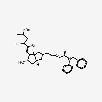 CCCCC(C)CC(O)C(Br)=C[C@H]1[C@@H]2CC(CCOCC(=O)N(Cc3ccccc3)c3ccccc3)C[C@H]2C[C@@H]1O